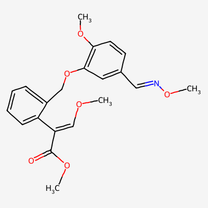 CO/C=C(/C(=O)OC)c1ccccc1COc1cc(/C=N/OC)ccc1OC